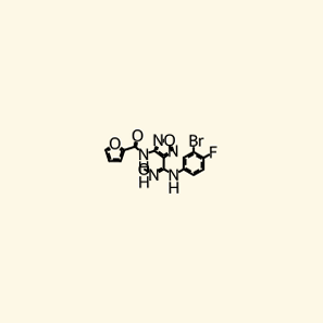 O=C(Nc1nonc1/C(=N\O)Nc1ccc(F)c(Br)c1)c1ccco1